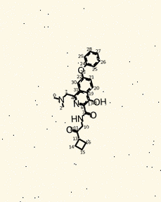 CN(C)Cc1nc(C(=O)NCC(=O)C2CCC2)c(O)c2ccc(Oc3ccccc3)cc12